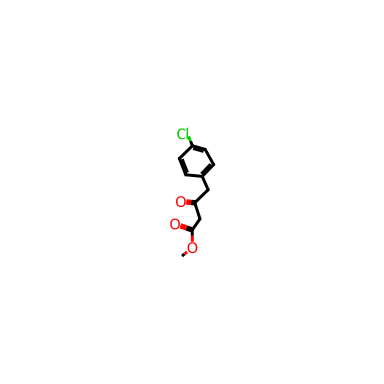 COC(=O)CC(=O)Cc1ccc(Cl)cc1